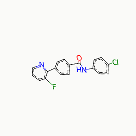 O=C(Nc1ccc(Cl)cc1)c1ccc(-c2ncccc2F)cc1